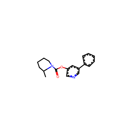 CC1CCCCN1C(=O)Oc1cncc(-c2ccccc2)c1